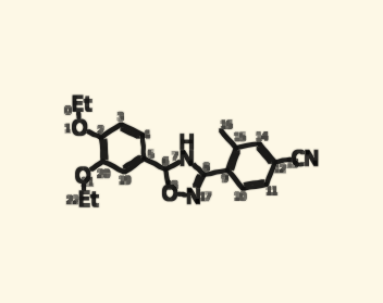 CCOc1ccc(C2NC(c3ccc(C#N)cc3C)=NO2)cc1OCC